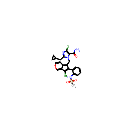 NC(=O)c1c(Cl)nc(CC2CC2)n1Cc1c2ccocc-2c(Br)c1-c1ccccc1NS(=O)(=O)C(F)(F)F